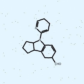 O=CC1C=CC2=C(C1)C1CCCC1N2C1=CCCC=N1